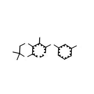 CC1(C)COc2c(nnc(Oc3cccc(C(F)(F)F)c3)c2C(=O)O)O1